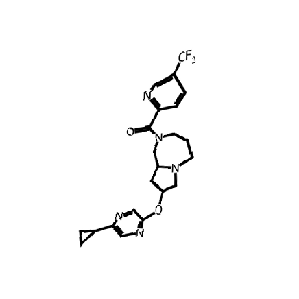 O=C(c1ccc(C(F)(F)F)cn1)N1CCCN2CC(Oc3cnc(C4CC4)cn3)CC2C1